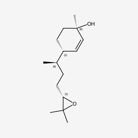 C[C@H](CC[C@@H]1OC1(C)C)[C@H]1C=C[C@](C)(O)CC1